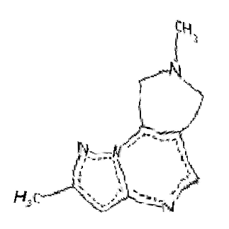 Cc1cc2ncc3c(n2n1)CN(C)C3